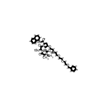 C[C@@H](C(=O)N[C@H](C(=O)N1C[C@@H](OCCOCCOCCOCCOCc2ccccc2)C[C@H]1C(=O)N[C@@H]1CCCc2ccccc21)C(C)(C)C)N(C)C(=O)OC(C)(C)C